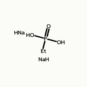 CCP(=O)(O)O.[NaH].[NaH]